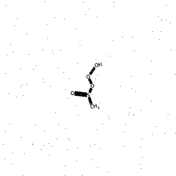 CS(=O)OOO